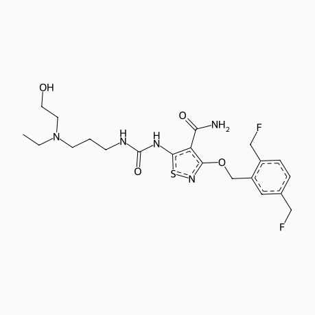 CCN(CCO)CCCNC(=O)Nc1snc(OCc2cc(CF)ccc2CF)c1C(N)=O